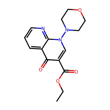 CCOC(=O)c1cn(N2CCOCC2)c2ncccc2c1=O